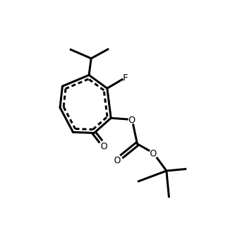 CC(C)c1cccc(=O)c(OC(=O)OC(C)(C)C)c1F